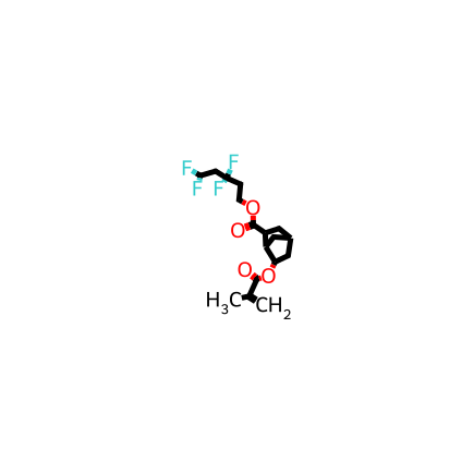 C=C(C)C(=O)OC1CC2CC(C(=O)OCCC(F)(F)CC(F)F)C1C2